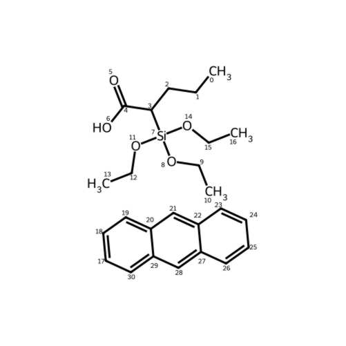 CCCC(C(=O)O)[Si](OCC)(OCC)OCC.c1ccc2cc3ccccc3cc2c1